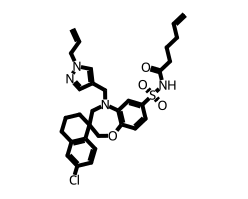 C=CCCCC(=O)NS(=O)(=O)c1ccc2c(c1)N(Cc1cnn(CC=C)c1)CC1(CCCc3cc(Cl)ccc31)CO2